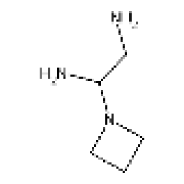 NCC(N)N1CCC1